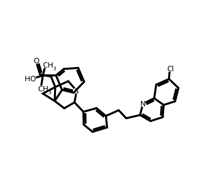 CC(C)(O)c1ccccc1C12CC(c3cccc(CCc4ccc5ccc(Cl)cc5n4)c3)SCC1(CC=O)C2